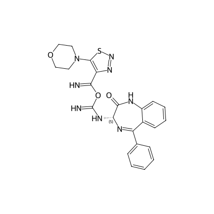 N=C(N[C@H]1N=C(c2ccccc2)c2ccccc2NC1=O)OC(=N)c1nnsc1N1CCOCC1